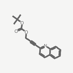 CC(C)(C)OC(=O)OCC#Cc1ccc2ccccc2n1